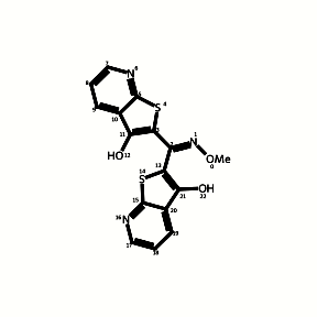 CON=C(c1sc2ncccc2c1O)c1sc2ncccc2c1O